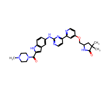 CN1CCN(C(=O)c2cc3cc(Nc4nccc(-c5cc(OCC6CC(C)(C)C(=O)N6)ccn5)n4)ccc3[nH]2)CC1